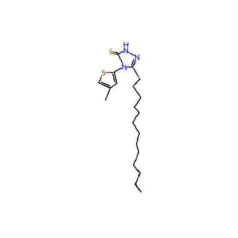 CCCCCCCCCCCCCc1n[nH]c(=S)n1-c1cc(C)cs1